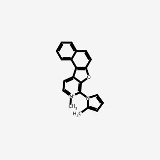 Cc1cccn1-c1c2oc3ccc4ccccc4c3c2cc[n+]1C